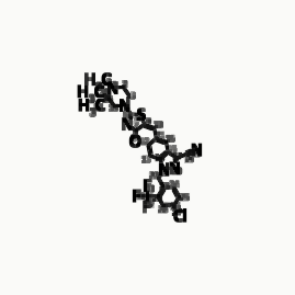 CN1CCN(C2=NC(=O)/C(=C\c3ccc4c(c3)c(C#N)nn4Cc3ccc(Cl)cc3C(F)(F)F)S2)CC1(C)C